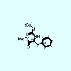 COC(=O)[C@H](C[C@H]1C=CCCC1)NC(=O)OC(C)(C)C